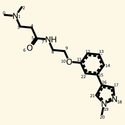 CN(C)CCC(=O)NCCOc1c[c]cc(-c2cnn(C)c2)c1